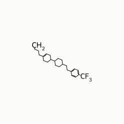 C=CCCC1=CCC(C2CCC(CCc3ccc(C(F)(F)F)cc3)CC2)CC1